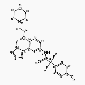 Cn1nccc1-c1cc(NC(=O)C(F)(F)c2ccc(Cl)cc2)ccc1OCCN1CCOCC1